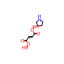 C1CCNC1.O=C(/C=C/C(=O)OO)OO